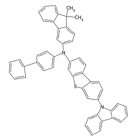 CC1(C)c2ccccc2-c2cc(N(c3ccc(-c4ccccc4)cc3)c3ccc4c(c3)sc3cc(-n5c6ccccc6c6ccccc65)ccc34)ccc21